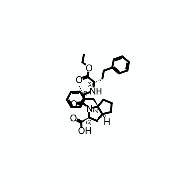 CCOC(=O)[C@H](CCc1ccccc1)N[C@@H](C)C(=O)N1[C@H](C(=O)O)C[C@@H]2CCC[C@]21Cc1ccccc1